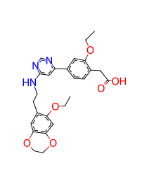 CCOc1cc2c(cc1CCNc1cc(-c3ccc(CC(=O)O)c(OCC)c3)ncn1)OCCO2